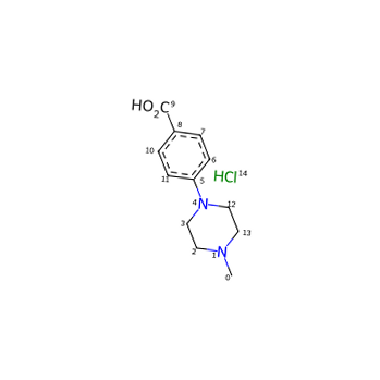 CN1CCN(c2ccc(C(=O)O)cc2)CC1.Cl